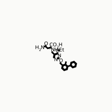 CCOc1nc(OCc2cccc(-c3ccccc3)c2C)ncc1CN[C@@H](CC(N)=O)C(=O)O